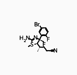 CS/C(N)=N\[C@](CF)(c1cc(Br)ccc1F)[C@H](C)[C@@H](C)CCC#N